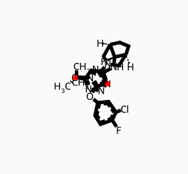 COc1cc(N2C[C@H]3CC[C@@H](C2)[C@@H]3Nc2nc(Oc3ccc(F)c(Cl)c3)n(C(C)C)n2)cnn1